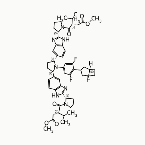 COC(=O)C[C@H](C(=O)N1CCC[C@H]1c1nc2cc([C@H]3CC[C@H](c4ccc5[nH]c([C@@H]6CCCN6C(=O)[C@@H](CC(=O)OC)C(C)C)nc5c4)N3c3cc(F)c(C4C[C@H]5CC[C@H]5C4)c(F)c3)ccc2[nH]1)C(C)C